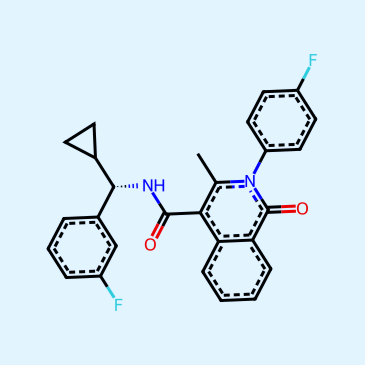 Cc1c(C(=O)N[C@H](c2cccc(F)c2)C2CC2)c2ccccc2c(=O)n1-c1ccc(F)cc1